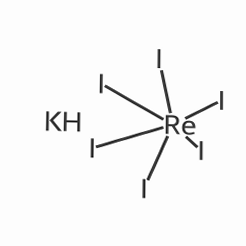 [I][Re]([I])([I])([I])([I])[I].[KH]